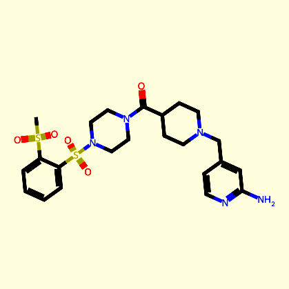 CS(=O)(=O)c1ccccc1S(=O)(=O)N1CCN(C(=O)C2CCN(Cc3ccnc(N)c3)CC2)CC1